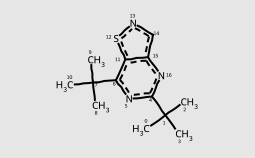 CC(C)(C)c1nc(C(C)(C)C)c2sncc2n1